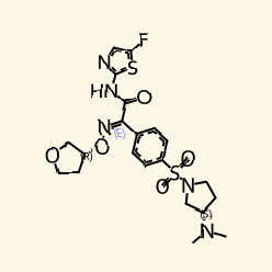 CN(C)[C@H]1CCN(S(=O)(=O)c2ccc(/C(=N\O[C@@H]3CCOC3)C(=O)Nc3ncc(F)s3)cc2)C1